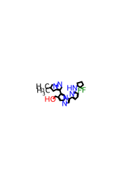 CC1(C)Cc2c(-c3cn4c(-c5cccc(NC6CCCC6(F)F)n5)cnc4cc3CO)cnn2C1